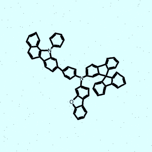 c1ccc(-n2c3cc(-c4ccc(N(c5ccc6c(c5)C5(c7ccccc7-c7ccccc75)c5ccccc5-6)c5ccc6c(c5)oc5ccccc56)cc4)ccc3c3ccc4ccccc4c32)cc1